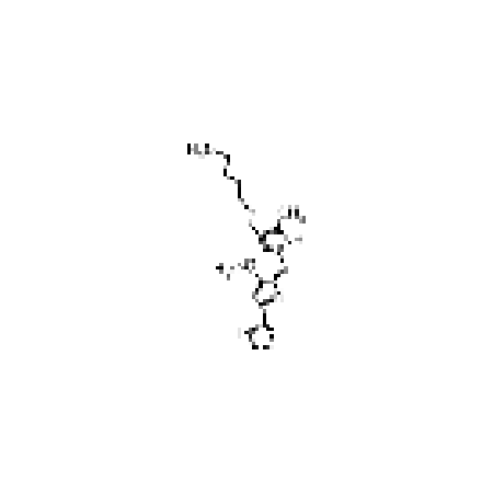 CCCCCCCc1cc(C=C2N=C(c3ccc[nH]3)C=C2OC)[nH]c1C